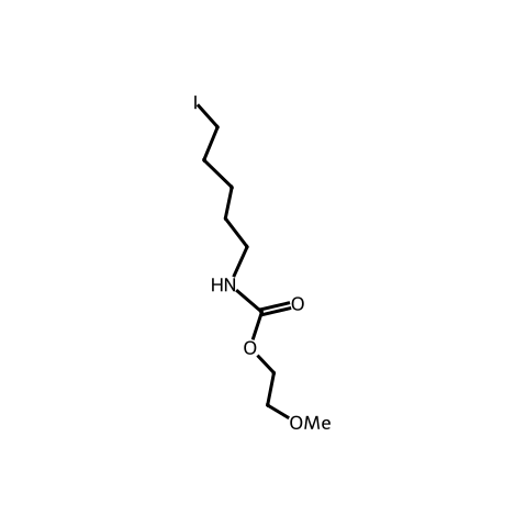 COCCOC(=O)NCCCCCI